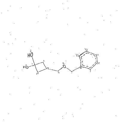 OC1(O)CC(COCc2ccccc2)C1